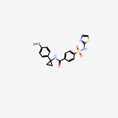 COc1ccc(C2(NC(=O)c3ccc(S(=O)(=O)Nc4nccs4)cc3)CC2)cc1